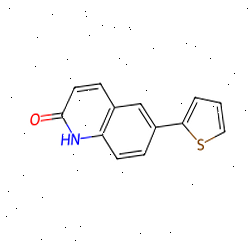 O=c1ccc2cc(-c3cccs3)ccc2[nH]1